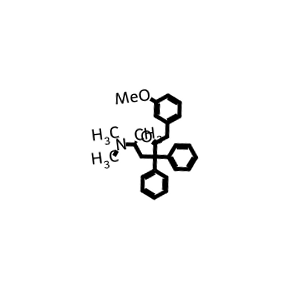 COc1cccc(CC(=O)C(C[C@H](C)N(C)C)(c2ccccc2)c2ccccc2)c1